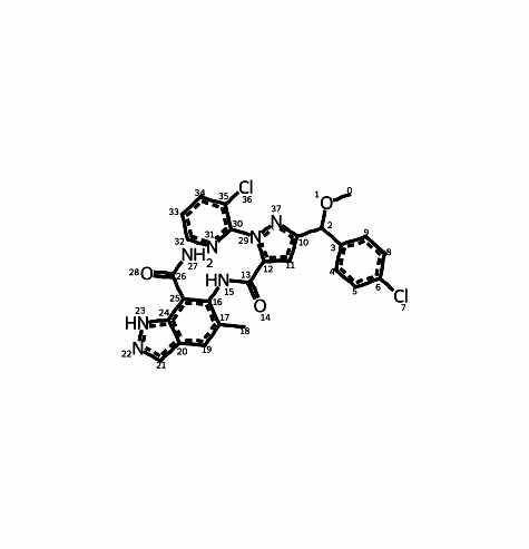 COC(c1ccc(Cl)cc1)c1cc(C(=O)Nc2c(C)cc3cn[nH]c3c2C(N)=O)n(-c2ncccc2Cl)n1